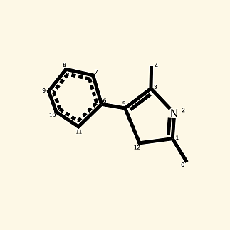 CC1=NC(C)=C(c2ccccc2)C1